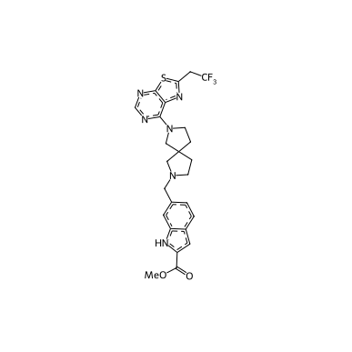 COC(=O)c1cc2ccc(CN3CCC4(CCN(c5ncnc6sc(CC(F)(F)F)nc56)C4)C3)cc2[nH]1